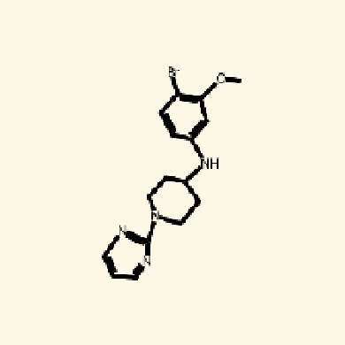 COc1cc(NC2CCN(c3ncccn3)CC2)ccc1Br